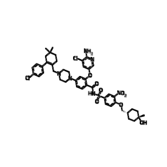 CC1(C)CCC(CN2CCN(c3ccc(C(=O)NS(=O)(=O)c4ccc(OC[C@H]5CC[C@@](C)(O)CC5)c([N+](=O)[O-])c4)c(Oc4cnc(N)c(Cl)c4)c3)CC2)=C(c2ccc(Cl)cc2)C1